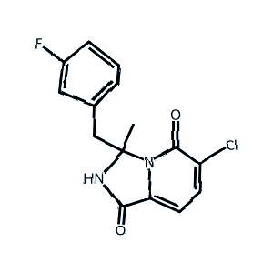 CC1(Cc2cccc(F)c2)NC(=O)c2ccc(Cl)c(=O)n21